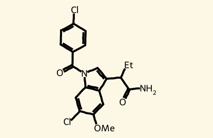 CCC(C(N)=O)c1cn(C(=O)c2ccc(Cl)cc2)c2cc(Cl)c(OC)cc12